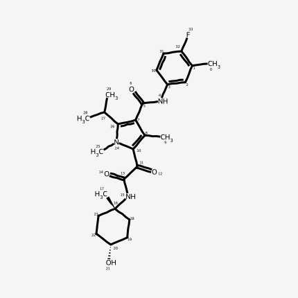 Cc1cc(NC(=O)c2c(C)c(C(=O)C(=O)N[C@]3(C)CC[C@H](O)CC3)n(C)c2C(C)C)ccc1F